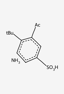 CC(=O)c1cc(S(=O)(=O)O)ccc1C(C)(C)C.N